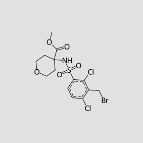 COC(=O)C1(NS(=O)(=O)c2ccc(Cl)c(CBr)c2Cl)CCOCC1